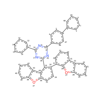 c1ccc(-c2ccc(-c3nc(-c4ccccc4)nc(-c4c(-c5cccc6c5oc5ccccc56)ccc5oc6ccccc6c45)n3)cc2)cc1